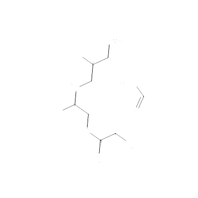 C=CC(=O)O.COCC(O)COC(C)COC(C)CO